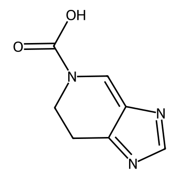 O=C(O)N1C=C2N=CN=C2CC1